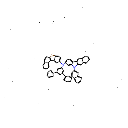 c1ccc(-c2cc(-c3ccccc3)cc(N(c3ccc4sc5ccc6ccccc6c5c4c3)c3ccc4c5cc6ccccc6cc5n(-c5ccc6ccccc6c5)c4c3)c2)cc1